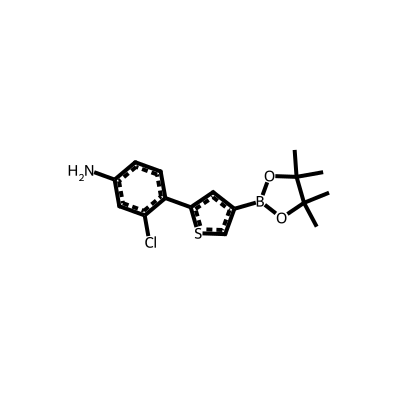 CC1(C)OB(c2csc(-c3ccc(N)cc3Cl)c2)OC1(C)C